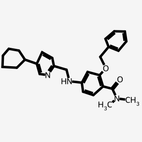 CN(C)C(=O)c1ccc(NCc2ccc(C3CCCCC3)cn2)cc1OCc1ccccc1